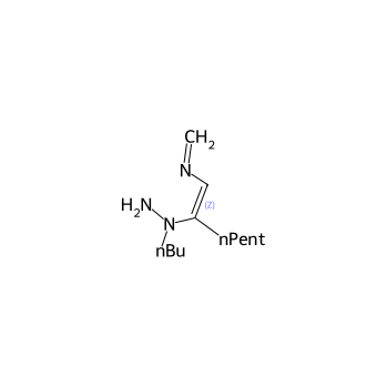 C=N/C=C(/CCCCC)N(N)CCCC